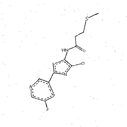 CSCCC(=O)Nc1sc(-c2cncc(F)c2)nc1Cl